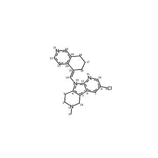 CN1CCc2c(c3cc(Cl)cnc3n2/C=C2\CCCc3cnccc32)C1